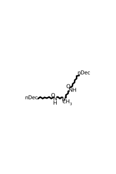 CCCCCCCCCCCCCCCCCC(=O)NCCCCN(C)CCCNC(=O)CCCCCCCCCCCCCCCCC